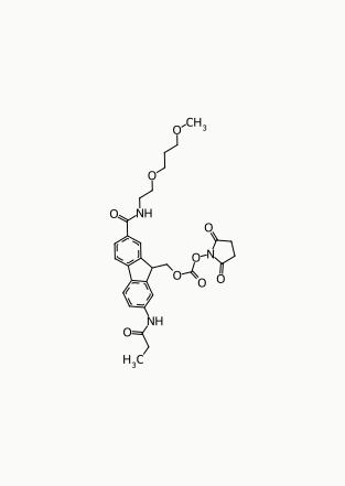 CCC(=O)Nc1ccc2c(c1)C(COC(=O)ON1C(=O)CCC1=O)c1cc(C(=O)NCCOCCCOC)ccc1-2